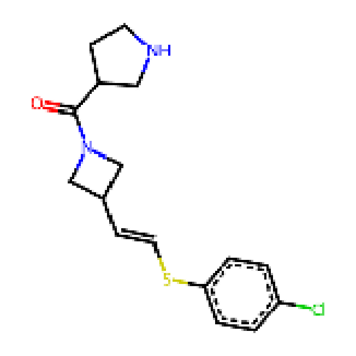 O=C(C1CCNC1)N1CC(/C=C/Sc2ccc(Cl)cc2)C1